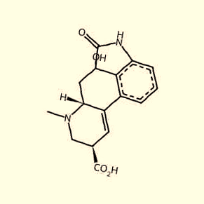 CN1C[C@H](C(=O)O)C=C2c3cccc4c3C(O)(C[C@H]21)C(=O)N4